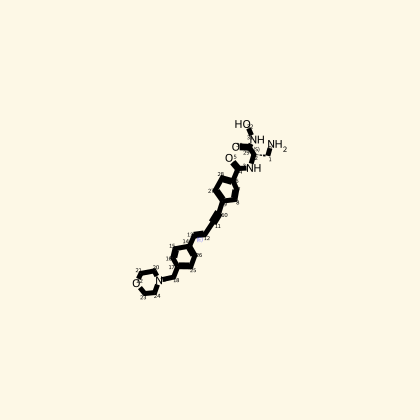 NC[C@H](NC(=O)c1ccc(C#C/C=C/c2ccc(CN3CCOCC3)cc2)cc1)C(=O)NO